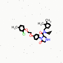 Cc1ccc(OCCOc2ccc(N3C(=O)CNCC3C(=O)N(Cc3cccc(C)c3C)C3CC3)cc2)c(Cl)c1